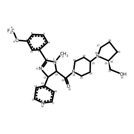 CN1C(c2cccc(OC(F)(F)F)c2)=NC(c2ccncc2)C1C(=O)N1CCC(N2CCC[C@H]2CO)CC1